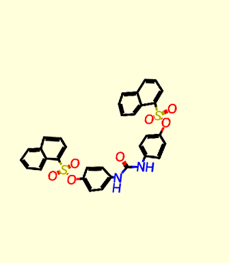 O=C(Nc1ccc(OS(=O)(=O)c2cccc3ccccc23)cc1)Nc1ccc(OS(=O)(=O)c2cccc3ccccc23)cc1